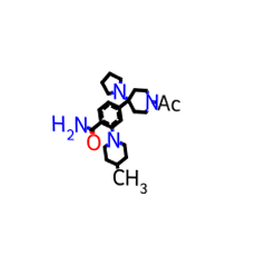 CC(=O)N1CCC(c2ccc(C(N)=O)c(N3CCC(C)CC3)c2)(N2CCCC2)CC1